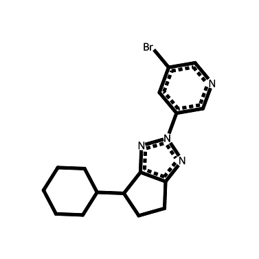 Brc1cncc(-n2nc3c(n2)C(C2CCCCC2)CC3)c1